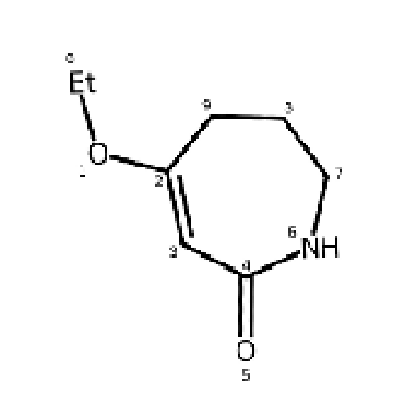 CCOC1=CC(=O)NCCC1